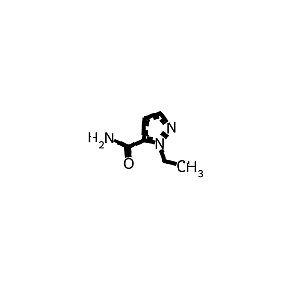 CCn1nccc1C(N)=O